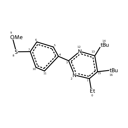 CCc1nc(-c2ccc(SOC)cc2)nc(C(C)(C)C)c1C(C)(C)C